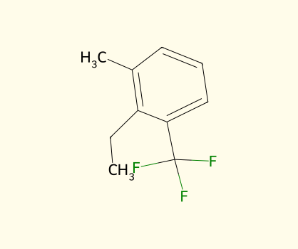 CCc1c(C)cccc1C(F)(F)F